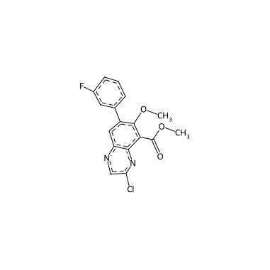 COC(=O)c1c(OC)c(-c2cccc(F)c2)cc2ncc(Cl)nc12